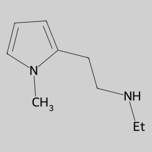 CCNCCc1cccn1C